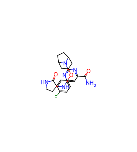 NC(=O)c1cc(NC2CCNC2=O)nc(N2C3CCC2CC(Oc2ccc(F)cc2)C3)n1